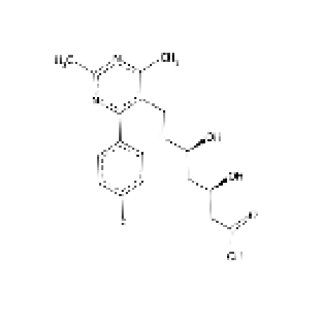 Cc1nc(C)c(C=C[C@@H](O)C[C@@H](O)CC(=O)O)c(-c2ccc(F)cc2)n1